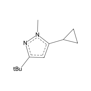 Cn1nc(C(C)(C)C)cc1C1CC1